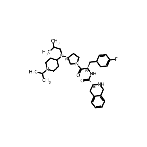 CC(C)CN(C1CCN(C(C)C)CC1)[C@H]1CCN(C(=O)[C@@H](CC2C=CC(F)=CC2)NC(=O)[C@H]2Cc3ccccc3CN2)C1